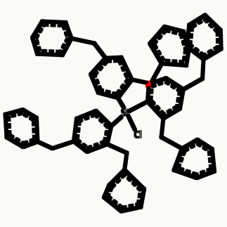 Cl[Si](c1ccc(Cc2ccccc2)cc1Cc1ccccc1)(c1ccc(Cc2ccccc2)cc1Cc1ccccc1)c1ccc(Cc2ccccc2)cc1Cc1ccccc1